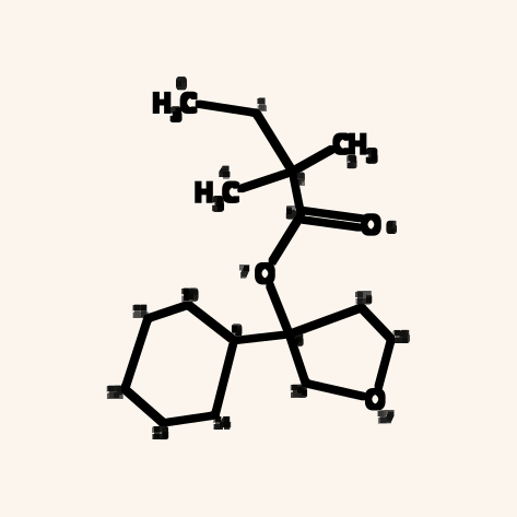 CCC(C)(C)C(=O)OC1(C2CCCCC2)CCOC1